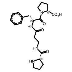 O=C(CCNC(=O)[C@@H]1CCCN1)N[C@H](Cc1ccccc1)C(=O)N1CCC[C@H]1C(=O)O